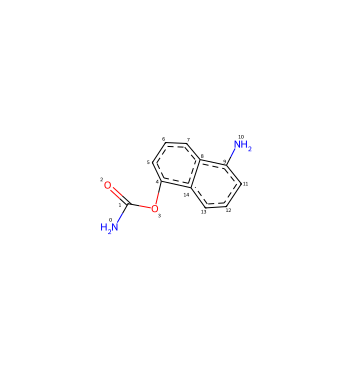 NC(=O)Oc1cccc2c(N)cccc12